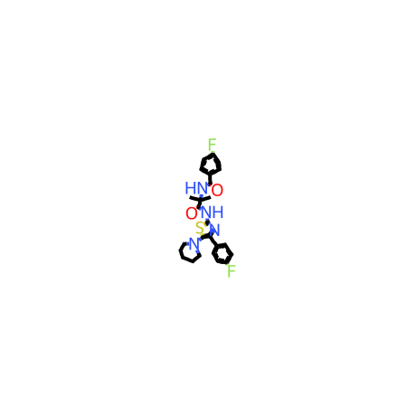 CC(C)(NC(=O)c1ccc(F)cc1)C(=O)Nc1nc(-c2ccc(F)cc2)c(N2CCCCC2)s1